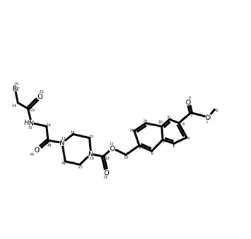 COC(=O)c1ccc2cc(COC(=O)N3CCN(C(=O)CNC(=O)CBr)CC3)ccc2c1